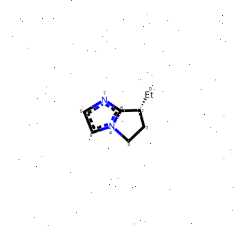 CC[C@@H]1CCn2ccnc21